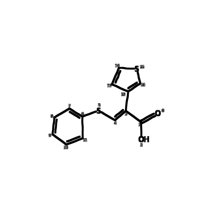 O=C(O)/C(=C/Sc1ccccc1)c1ccsc1